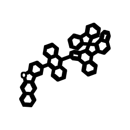 c1ccc2c(c1)-c1ccccc1C21c2c(ccc3ccccc23)-c2c1c1ccc(-c3c4ccccc4c(-c4ccc5oc6cc7ccccc7cc6c5c4)c4ccccc34)cc1c1ccccc21